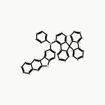 c1ccc(N(c2ccc3oc4cc5ccccc5cc4c3c2)c2cccc3c2-c2ccccc2C32c3ccccc3-c3ccccc32)cc1